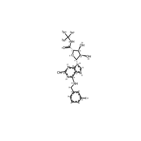 [2H]C([2H])([2H])NC(=O)[C@H]1O[C@@H](n2cnc3c(NCc4cccc(I)c4)nc(Cl)nc32)[C@H](O)[C@@H]1O